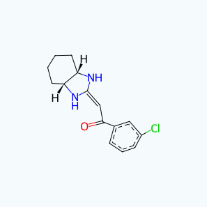 O=C(/C=C1/N[C@H]2CCCC[C@H]2N1)c1cccc(Cl)c1